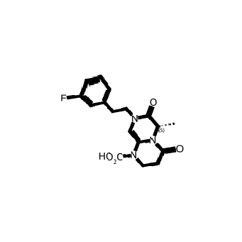 C[C@H]1C(=O)N(CCc2cccc(F)c2)C=C2N(C(=O)O)CCC(=O)N21